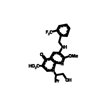 COc1nc2c(cc1NCc1ccccc1C(F)(F)F)c(=O)c(C(=O)O)cn2C(CO)C(C)C